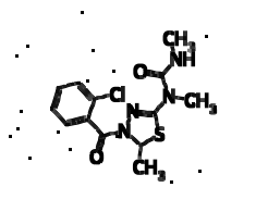 CNC(=O)N(C)C1=NN(C(=O)c2ccccc2Cl)C(C)S1